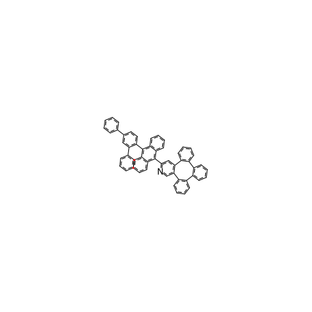 c1ccc(-c2ccc(-c3c4ccccc4c(-c4cc5c(cn4)-c4ccccc4-c4ccccc4-c4ccccc4-5)c4ccccc34)c(-c3ccccc3)c2)cc1